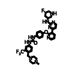 CN1CCN(Cc2ccc(NC(=O)Nc3ccc(Oc4ncccc4-c4ccnc(N[C@@H]5CNC[C@@H](F)C5)n4)cc3)cc2C(F)(F)F)CC1